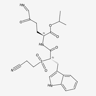 CC(C)OC(=O)[C@H](CCC(=O)C=N)NC(=O)[C@H](Cc1c[nH]c2ccccc12)S(=O)(=O)CCC#N